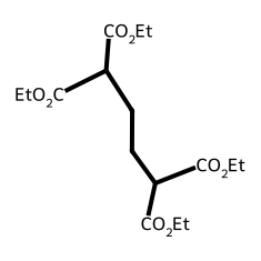 CCOC(=O)C(CCC(C(=O)OCC)C(=O)OCC)C(=O)OCC